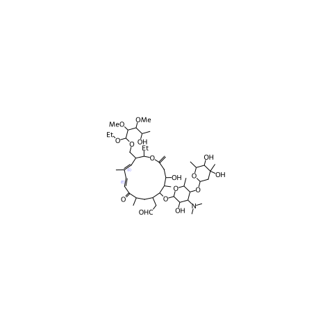 C=C1CC(O)C(C)C(OC2OC(C)C(OC3CC(C)(O)C(O)C(C)O3)C(N(C)C)C2O)C(CC=O)CC(C)C(=O)/C=C/C(C)=C/C(COC(OCC)C(OC)C(OC)C(C)O)C(CC)O1